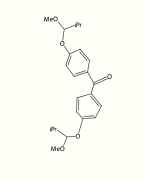 COC(Oc1ccc(C(=O)c2ccc(OC(OC)C(C)C)cc2)cc1)C(C)C